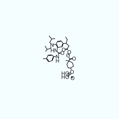 CCC(CC(=O)OOC(=O)C1(C)CCC(OP(=O)(O)O)CC1)c1ccc(N(CC(C)C)CC(C)C)c(NC(=O)Nc2ccc(C)cc2)c1